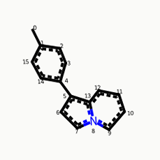 Cc1ccc(-c2c[c]n3ccccc23)cc1